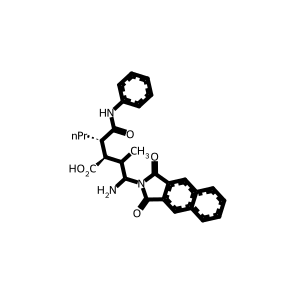 CCC[C@H](C(=O)Nc1ccccc1)[C@H](C(=O)O)C(C)C(N)N1C(=O)c2cc3ccccc3cc2C1=O